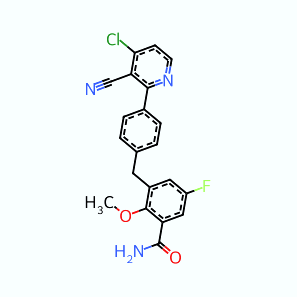 COc1c(Cc2ccc(-c3nccc(Cl)c3C#N)cc2)cc(F)cc1C(N)=O